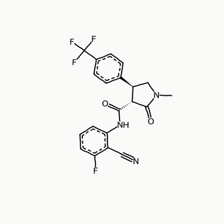 CN1C[C@H](c2ccc(C(F)(F)F)cc2)[C@@H](C(=O)Nc2cccc(F)c2C#N)C1=O